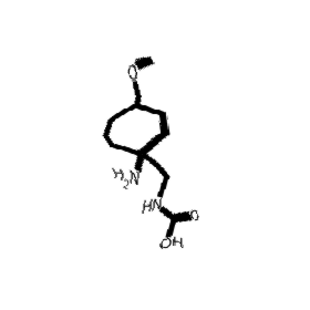 COC1CCC(N)(CNC(=O)O)CC1